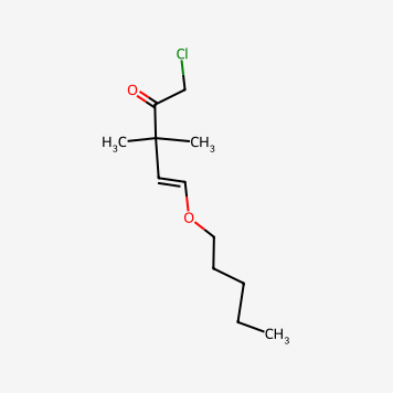 CCCCCOC=CC(C)(C)C(=O)CCl